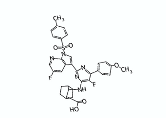 COc1ccc(-c2nc(-c3cn(S(=O)(=O)c4ccc(C)cc4)c4ncc(F)cc34)nc(NC3C4CCC(CC4)C3C(=O)O)c2F)cc1